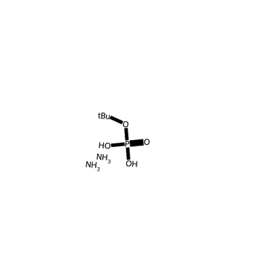 CC(C)(C)OP(=O)(O)O.N.N